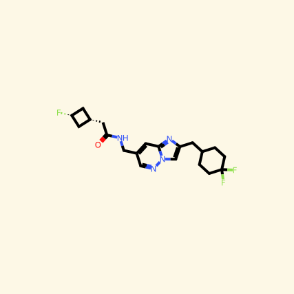 O=C(C[C@H]1C[C@@H](F)C1)NCc1cnn2cc(CC3CCC(F)(F)CC3)nc2c1